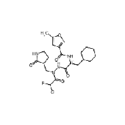 Cc1cc(C(=O)N[C@@H](CC2CCCCC2)C(=O)NN(CC2CCNC2=O)C(=O)C(F)Cl)no1